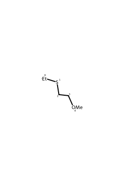 C[CH]SCCOC